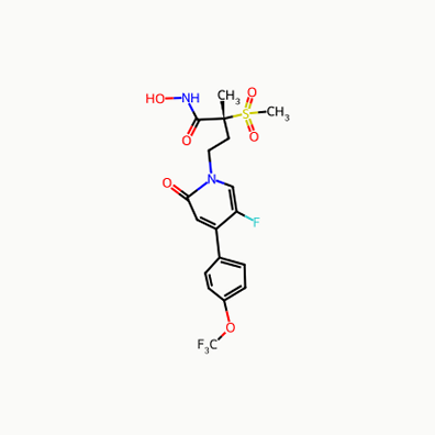 C[C@@](CCn1cc(F)c(-c2ccc(OC(F)(F)F)cc2)cc1=O)(C(=O)NO)S(C)(=O)=O